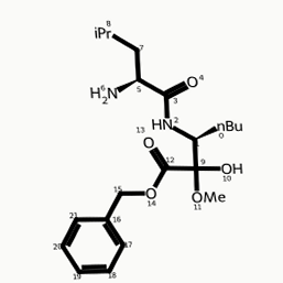 CCCC[C@H](NC(=O)[C@@H](N)CC(C)C)C(O)(OC)C(=O)OCc1ccccc1